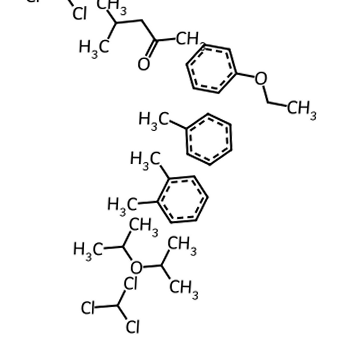 CC(=O)CC(C)C.CC(C)OC(C)C.CCOc1ccccc1.Cc1ccccc1.Cc1ccccc1C.ClC(Cl)Cl.ClCCl